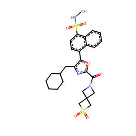 CC(C)(C)NS(=O)(=O)c1ccc(-c2oc(C(=O)N3CC4(C3)CS(=O)(=O)C4)nc2CC2CCCCC2)c2ccccc12